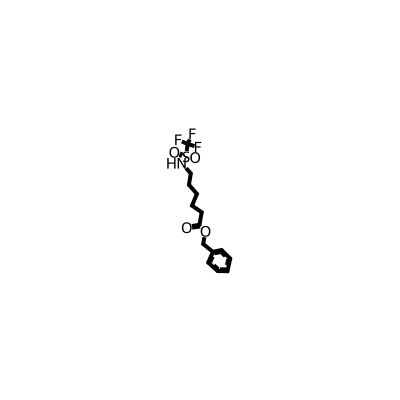 O=C(CCCCCNS(=O)(=O)C(F)(F)F)OCc1ccccc1